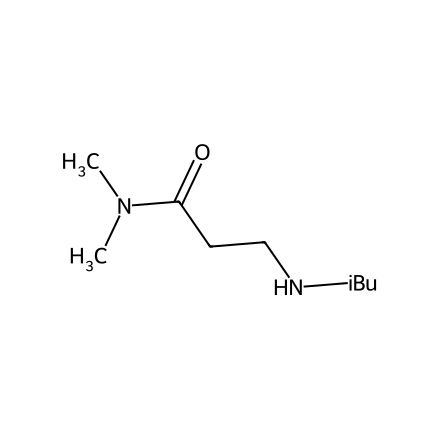 CCC(C)NCCC(=O)N(C)C